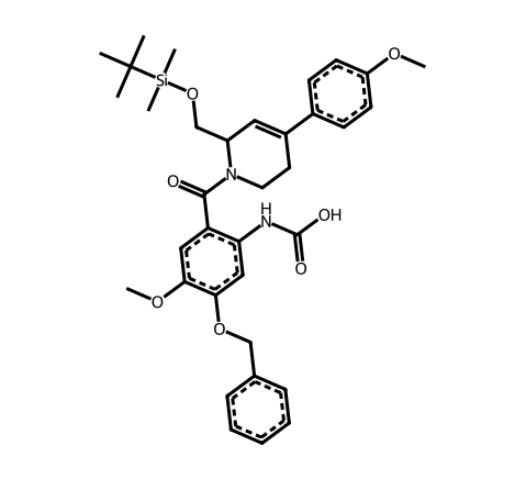 COc1ccc(C2=CC(CO[Si](C)(C)C(C)(C)C)N(C(=O)c3cc(OC)c(OCc4ccccc4)cc3NC(=O)O)CC2)cc1